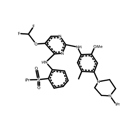 COc1cc(N2CCN(C(C)C)CC2)c(C)cc1Nc1ncc(OC(F)F)c(Nc2ccccc2S(=O)(=O)C(C)C)n1